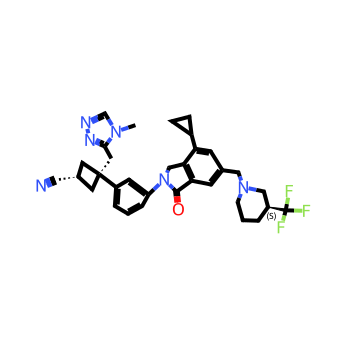 Cn1cnnc1C[C@]1(c2cccc(N3Cc4c(cc(CN5CCC[C@H](C(F)(F)F)C5)cc4C4CC4)C3=O)c2)C[C@H](C#N)C1